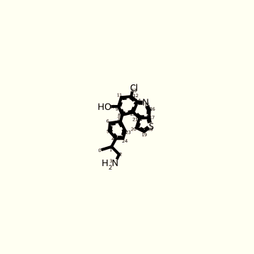 CC(CN)c1ccc(-c2c(O)cc(Cl)c3ncc4sccc4c23)cc1